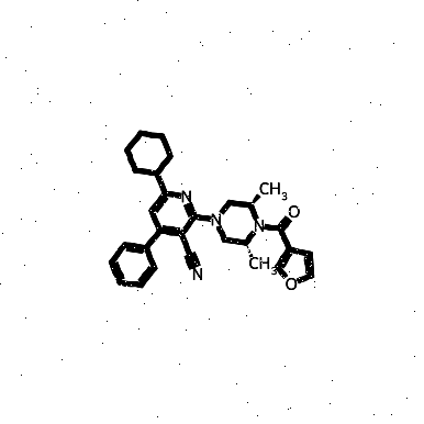 C[C@@H]1CN(c2nc(C3CCCCC3)cc(-c3ccccc3)c2C#N)C[C@@H](C)N1C(=O)c1ccoc1